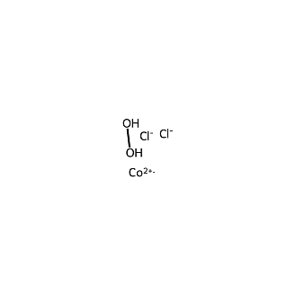 OO.[Cl-].[Cl-].[Co+2]